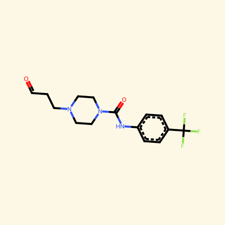 O=CCCN1CCN(C(=O)Nc2ccc(C(F)(F)F)cc2)CC1